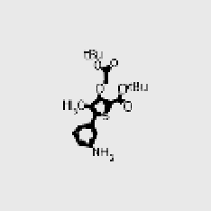 Cc1c(-c2cccc(N)c2)sc(C(=O)OC(C)(C)C)c1OCC(=O)OC(C)(C)C